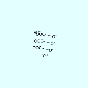 O=C([O-])[O-].O=C([O-])[O-].O=C([O-])[O-].[Al+3].[Y+3]